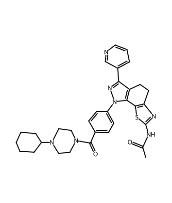 CC(=O)Nc1nc2c(s1)-c1c(c(-c3cccnc3)nn1-c1ccc(C(=O)N3CCN(C4CCCCC4)CC3)cc1)CC2